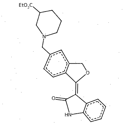 CCOC(=O)C1CCCN(Cc2ccc3c(c2)CO/C3=C2/C(=O)Nc3ccccc32)C1